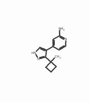 CC1(c2n[nH]cc2-c2ccnc(N)c2)CCC1